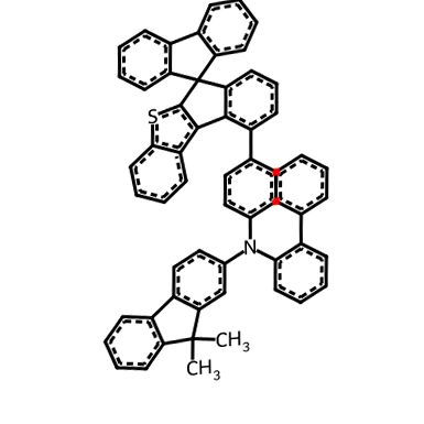 CC1(C)c2ccccc2-c2ccc(N(c3ccc(-c4cccc5c4-c4c(sc6ccccc46)C54c5ccccc5-c5ccccc54)cc3)c3ccccc3-c3ccccc3)cc21